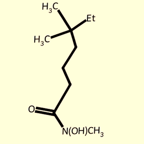 CCC(C)(C)CCCC(=O)N(C)O